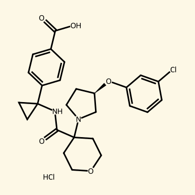 Cl.O=C(O)c1ccc(C2(NC(=O)C3(N4CC[C@@H](Oc5cccc(Cl)c5)C4)CCOCC3)CC2)cc1